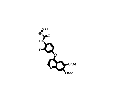 CCCCNC(=O)Nc1ccc(Oc2ccnc3cc(OC)c(OC)cc23)cc1F